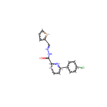 O=C(NN=Cc1cccs1)c1cccc(-c2ccc(Cl)cc2)n1